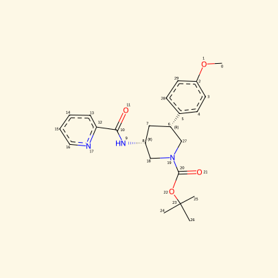 COc1ccc([C@H]2C[C@@H](NC(=O)c3ccccn3)CN(C(=O)OC(C)(C)C)C2)cc1